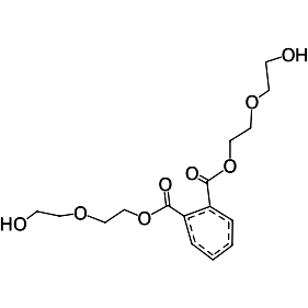 O=C(OCCOCCO)c1ccccc1C(=O)OCCOCCO